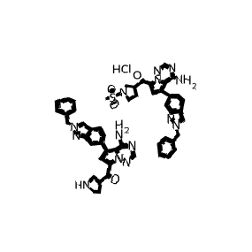 CS(=O)(=O)N1CCC(C(=O)c2cc(-c3ccc4cn(Cc5ccccc5)nc4c3)c3c(N)ncnn23)C1.Cl.Nc1ncnn2c(C(=O)C3CCNC3)cc(-c3ccc4cn(Cc5ccccc5)nc4c3)c12